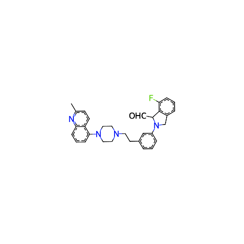 Cc1ccc2c(N3CCN(CCc4cccc(N5Cc6cccc(F)c6C5C=O)c4)CC3)cccc2n1